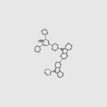 C1=CCCC(n2c3ccccc3c3cc(-c4ccc5c6ccccc6n(-c6ccc(C7=CC(c8ccccc8)NC(c8ccccc8)=C7)cc6)c5c4)ccc32)=C1